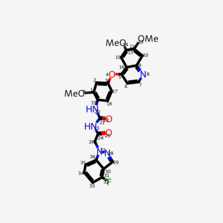 COc1cc(Oc2ccnc3cc(OC)c(OC)cc23)ccc1NC(=O)NC(=O)Cn1ncc2c(F)cccc21